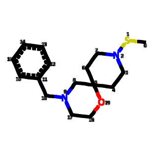 CSN1CCC2(CC1)CN(Cc1ccccc1)CCO2